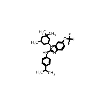 CC(C)c1ccc(Nc2nc3ccc(OC(F)(F)F)cc3n2[C@H]2C[C@@H](C)CC(C)(C)C2)cc1